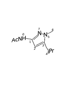 CC(=O)Nc1cc(C(C)C)n(C)n1